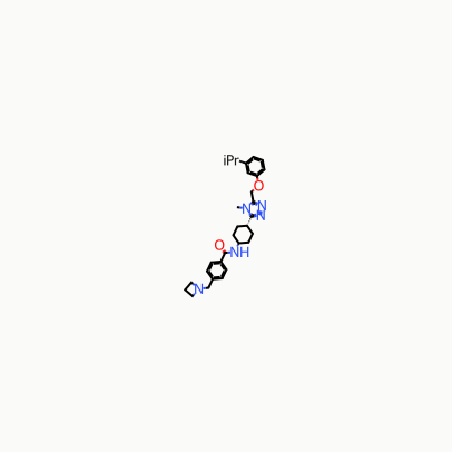 CC(C)c1cccc(OCc2nnc([C@H]3CC[C@H](NC(=O)c4ccc(CN5CCC5)cc4)CC3)n2C)c1